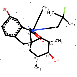 CC1=N[C@@]2(C(=O)N1CC(C)(C)F)c1cc(Br)ccc1C[C@@]21C[C@@H](C)[C@H](O)[C@@H](C)C1